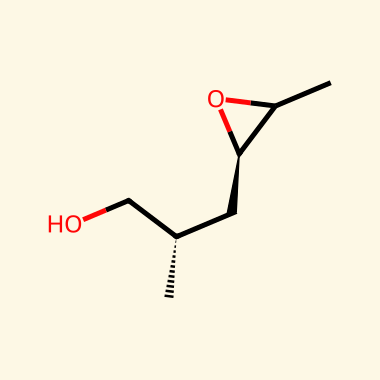 CC1O[C@@H]1C[C@H](C)CO